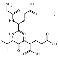 CC(C)[C@H](NC(=O)[C@H](CCC(=O)O)NC(=O)CN)C(=O)N[C@@H](CCC(=O)O)C(=O)O